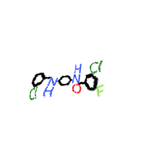 O=C(N[C@H]1CC[C@H](NCc2cccc(Cl)c2)CC1)c1cc(F)cc(Cl)c1